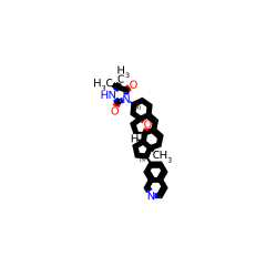 CC1(C)NC(=O)N([C@@H]2CCC3=CC4=CC[C@]5(C)[C@@H](c6ccc7ccncc7c6)CC[C@H]5[C@@]45CCC3(C2)O5)C1=O